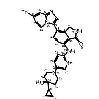 O=C1NCc2c(-c3cnc4cc(F)ccn34)ccc(Nc3ccc(N4CCC(O)(C5CC5)CC4)cn3)c21